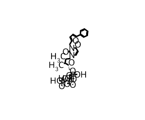 CC1C(C)[C@@H](COP(=O)(O)OP(=O)(O)OP(=O)(O)O)O[C@H]1n1ccc(=O)n(Cc2ccc(-c3ccccc3)o2)c1=O